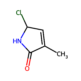 CC1=CC(Cl)NC1=O